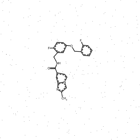 Cc1cn2ccc(C(=O)NCc3cc(OCc4ccccc4F)ccc3F)cc2n1